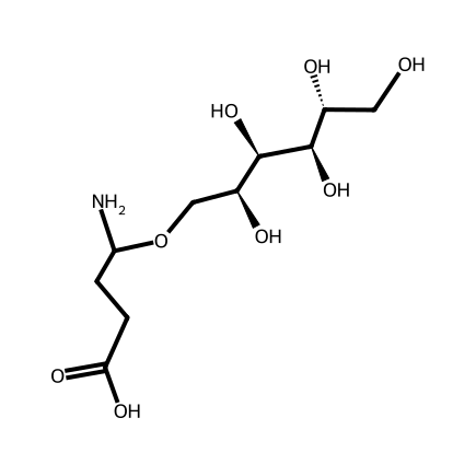 NC(CCC(=O)O)OC[C@H](O)[C@@H](O)[C@H](O)[C@H](O)CO